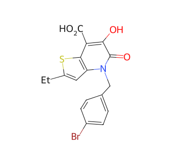 CCc1cc2c(s1)c(C(=O)O)c(O)c(=O)n2Cc1ccc(Br)cc1